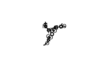 CCCOC1CN(C(=O)O[C@H]2CC[C@H](C(=O)N(CC34CCC(c5ccc(OC)c(C)c5)(CC3)CC4)c3cc(-c4cnn(C(C)(C)C)c4)ccn3)CC2)C1